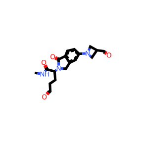 CNC(=O)C(CCC=O)N1Cc2cc(N3CC(C=O)C3)ccc2C1=O